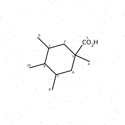 CC1CC(C)(C(=O)O)CC(C)C1C